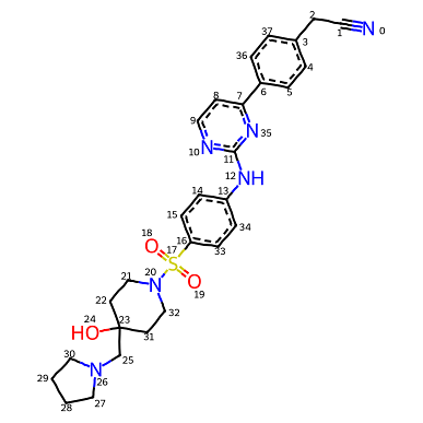 N#CCc1ccc(-c2ccnc(Nc3ccc(S(=O)(=O)N4CCC(O)(CN5CCCC5)CC4)cc3)n2)cc1